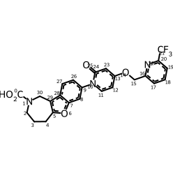 O=C(O)N1CCCc2oc3cc(-n4ccc(OCc5cccc(C(F)(F)F)n5)cc4=O)ccc3c2C1